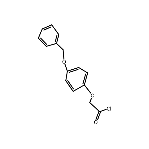 O=C(Cl)COc1ccc(OCc2ccccc2)cc1